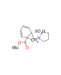 CC(C)(C)OC(=O)C1(C)C=CC=C[C@]1(CN1CCCC1)S(=O)(=O)O